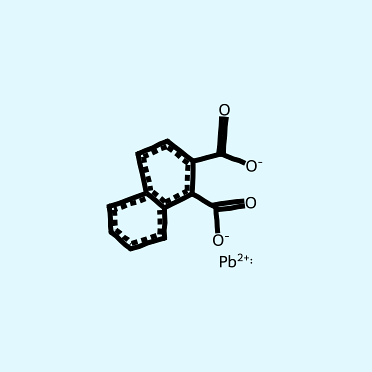 O=C([O-])c1ccc2ccccc2c1C(=O)[O-].[Pb+2]